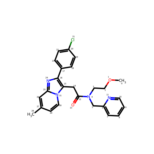 COCCN(Cc1ccccn1)C(=O)Cc1c(-c2ccc(Cl)cc2)nc2cc(C)ccn12